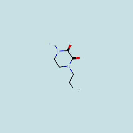 COCCN1CCN(C(C)C)C(=O)C1=O